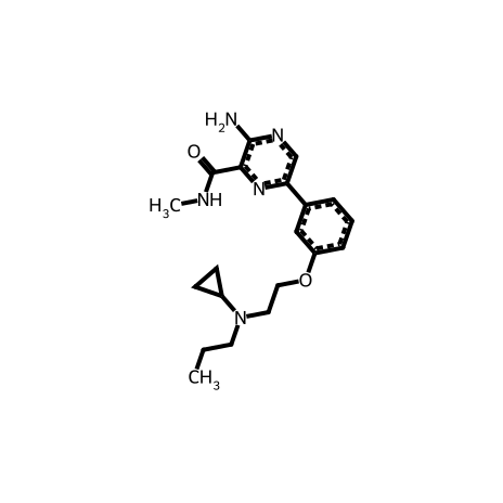 CCCN(CCOc1cccc(-c2cnc(N)c(C(=O)NC)n2)c1)C1CC1